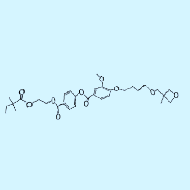 CCC(C)(C)C(=O)OCCOC(=O)c1ccc(OC(=O)c2ccc(OCCCCOCC3(C)COC3)c(OC)c2)cc1